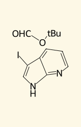 CC(C)(C)OC=O.Ic1c[nH]c2ncccc12